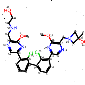 COc1nc(-c2cccc(-c3cccc(-c4cnc(CN5CC(C)(O)C5)c(OC)n4)c3Cl)c2Cl)cnc1CNCCO